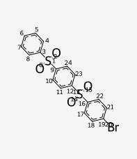 O=S(=O)(c1ccccc1)c1ccc(S(=O)(=O)c2ccc(Br)cc2)cc1